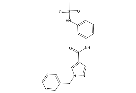 CS(=O)(=O)Nc1cccc(NC(=O)c2cnn(Cc3ccccc3)c2)c1